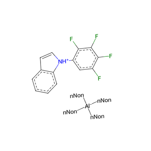 CCCCCCCC[CH2][Al-]([CH2]CCCCCCCC)([CH2]CCCCCCCC)[CH2]CCCCCCCC.Fc1cc([NH+]2C=Cc3ccccc32)c(F)c(F)c1F